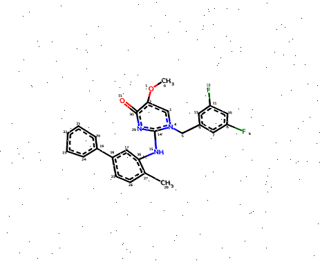 COc1cn(Cc2cc(F)cc(F)c2)c(Nc2cc(-c3ccccc3)ccc2C)nc1=O